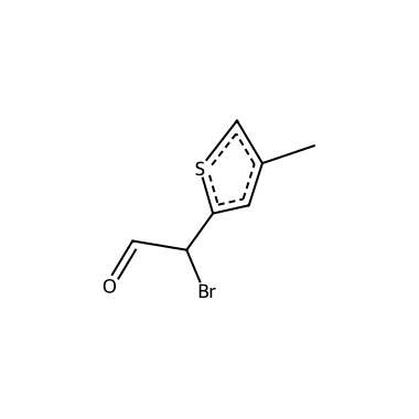 Cc1csc(C(Br)C=O)c1